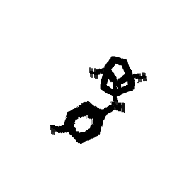 Fc1ccc(N[C@@H]2C[C@H]3CC[C@@H](C2)N3)cc1